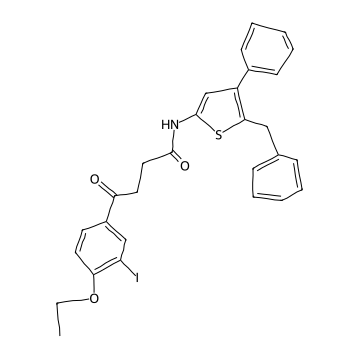 CCOc1ccc(C(=O)CCC(=O)Nc2cc(-c3ccccc3)c(Cc3ccccc3)s2)cc1I